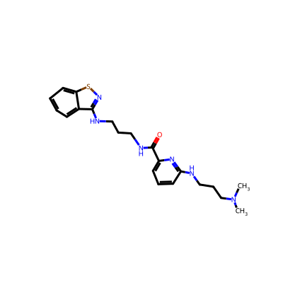 CN(C)CCCNc1cccc(C(=O)NCCCNc2nsc3ccccc23)n1